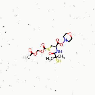 CC(=O)OCOC(=O)SC[C@H](NC(=O)C(C)(C)S)C(=O)ON1CCOCC1